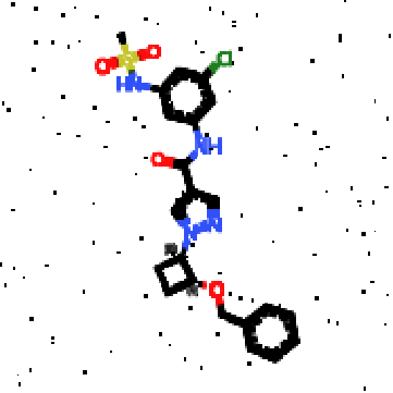 CS(=O)(=O)Nc1cc(Cl)cc(NC(=O)c2cnn([C@@H]3CC[C@H]3OCc3ccccc3)c2)c1